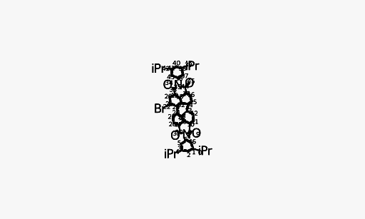 CC(C)c1cc(C(C)C)cc(N2C(=O)c3ccc4c5ccc6c7c(cc(Br)c(c8ccc(c3c48)C2=O)c75)C(=O)N(c2cc(C(C)C)cc(C(C)C)c2)C6=O)c1